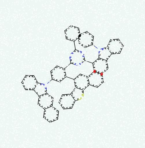 c1ccc(-c2nc(-c3ccc(-n4c5ccccc5c5cc6ccccc6cc54)cc3-c3cc4ccccc4c4sc5ccccc5c34)nc(-c3cccc4c5ccccc5n(-c5ccccc5)c34)n2)cc1